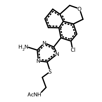 CC(=O)NCCSc1nc(N)nc(-c2c(Cl)cc3c4c(cccc24)COC3)n1